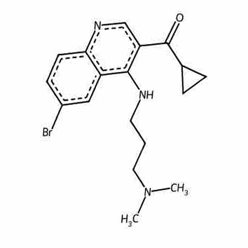 CN(C)CCCNc1c(C(=O)C2CC2)cnc2ccc(Br)cc12